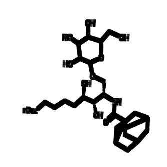 CCCCCCCCCCCCCC[C@@H](O)[C@@H](O)[C@H](COC1OC(CO)C(O)C(O)C1O)NC(=O)C12CC3CC(CC(C3)C1)C2